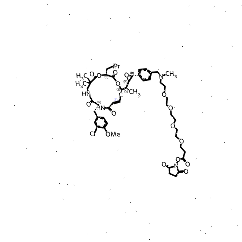 COc1ccc(C[C@H]2NC(=O)/C=C/C[C@@H]([C@H](C)[C@H]3O[C@@H]3c3ccc(CN(C)CCOCCOCCOCCOCCC(=O)ON4C(=O)CCC4=O)cc3)OC(=O)[C@H](CC(C)C)OC(=O)C(C)(C)CNC2=O)cc1Cl